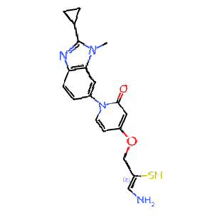 Cn1c(C2CC2)nc2ccc(-n3ccc(OC/C(S)=C/N)cc3=O)cc21